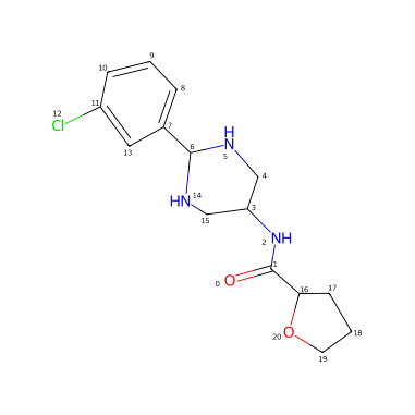 O=C(NC1CNC(c2cccc(Cl)c2)NC1)C1CCCO1